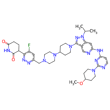 COC1CCN(c2nccc(Nc3cc4c(cn3)c(N3CCC(N5CCN(Cc6cc(F)c(C7CCC(=O)NC7=O)nn6)CC5)CC3)nn4C(C)C)n2)CC1